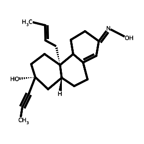 CC#C[C@@]1(O)CC[C@@]2(CC=CC)C3CCC(=NO)C=C3CC[C@@H]2C1